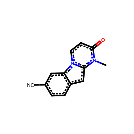 Cn1c(=O)ccn2c3cc(C#N)ccc3cc12